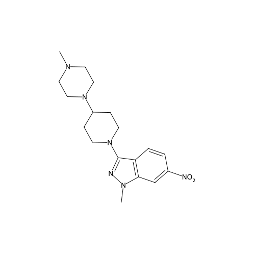 CN1CCN(C2CCN(c3nn(C)c4cc([N+](=O)[O-])ccc34)CC2)CC1